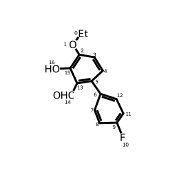 CCOc1ccc(-c2ccc(F)cc2)c(C=O)c1O